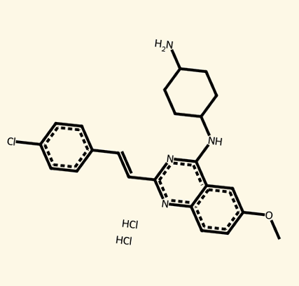 COc1ccc2nc(C=Cc3ccc(Cl)cc3)nc(NC3CCC(N)CC3)c2c1.Cl.Cl